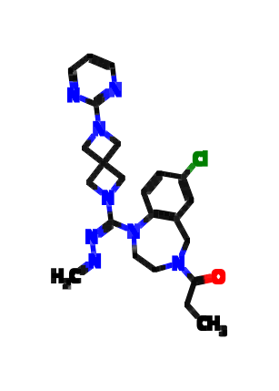 C=N/N=C(/N1CC2(C1)CN(c1ncccn1)C2)N1CCN(C(=O)CC)Cc2cc(Cl)ccc21